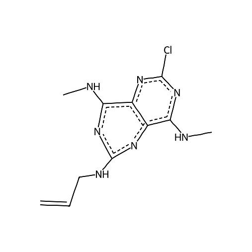 C=CCNc1nc(NC)c2nc(Cl)nc(NC)c2n1